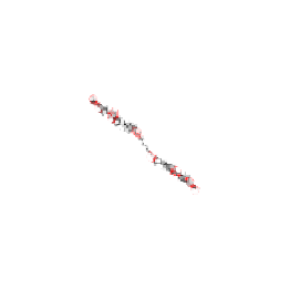 CC(C)(c1ccc(OCCCCCCCCOc2ccc(C(C)(C)c3ccc(OC(=O)c4ccc(OCC5CO5)cc4)cc3)cc2)cc1)c1ccc(OC(=O)c2ccc(OCC3CO3)cc2)cc1